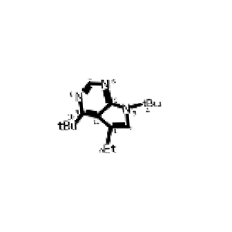 CCc1cn(C(C)(C)C)c2ncnc(C(C)(C)C)c12